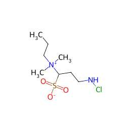 CCC[N+](C)(C)C(CCNCl)S(=O)(=O)[O-]